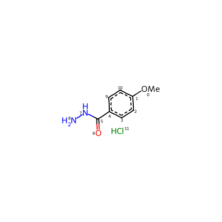 COc1ccc(C(=O)NN)cc1.Cl